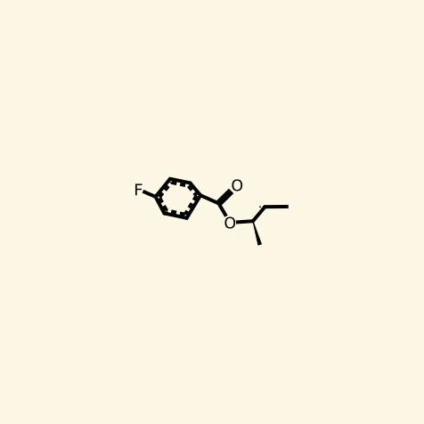 C[CH][C@@H](C)OC(=O)c1ccc(F)cc1